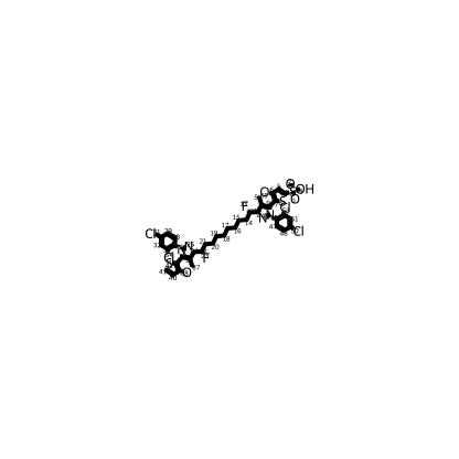 O=S(=O)(O)c1cc2c(s1)-c1c(c(C(F)CCCCCCCCC(F)c3nn(-c4ccc(Cl)cc4Cl)c4c3COc3ccsc3-4)nn1-c1ccc(Cl)cc1Cl)CO2